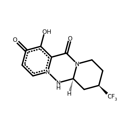 O=C1c2c(O)c(=O)ccn2N[C@@H]2C[C@H](C(F)(F)F)CCN12